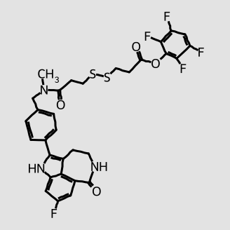 CN(Cc1ccc(-c2[nH]c3cc(F)cc4c3c2CCNC4=O)cc1)C(=O)CCSSCCC(=O)Oc1c(F)c(F)cc(F)c1F